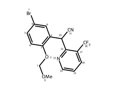 COCOc1ccc(Br)cc1C(C#N)c1ncccc1C(F)(F)F